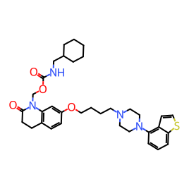 O=C(NCC1CCCCC1)OCN1C(=O)CCc2ccc(OCCCCN3CCN(c4cccc5sccc45)CC3)cc21